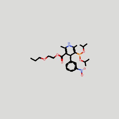 CCCOCCOC(=O)C1=C(C)NC(C)=C(P(OC(C)C)OC(C)C)C1c1cccc([N+](=O)[O-])c1